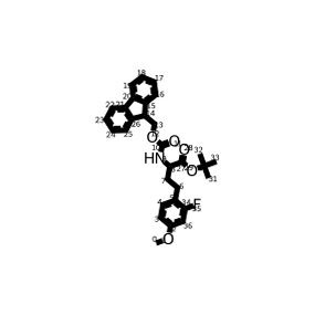 COc1ccc(CCC(NC(=O)OCC2c3ccccc3-c3ccccc32)C(=O)OC(C)(C)C)c(F)c1